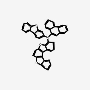 c1ccc2c(c1)cc(N(c1ccc3c(c1)oc1ccccc13)c1cccc3c1oc1ccc4oc5ccccc5c4c13)c1ccccc12